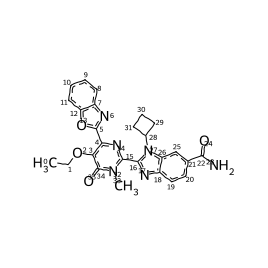 CCOc1c(-c2nc3ccccc3o2)nc(-c2nc3ccc(C(N)=O)cc3n2C2CCC2)n(C)c1=O